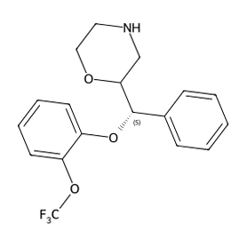 FC(F)(F)Oc1ccccc1O[C@@H](c1ccccc1)C1CNCCO1